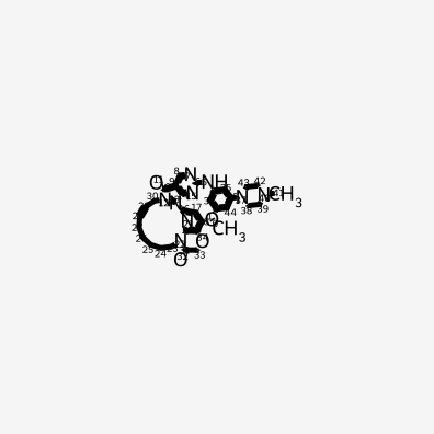 COc1cc(Nc2ncc3c(=O)n4n(c3n2)-c2ccc3c(n2)N(CCCCCC#CC4)C(=O)CO3)cc(N2CCN(C)CC2)c1